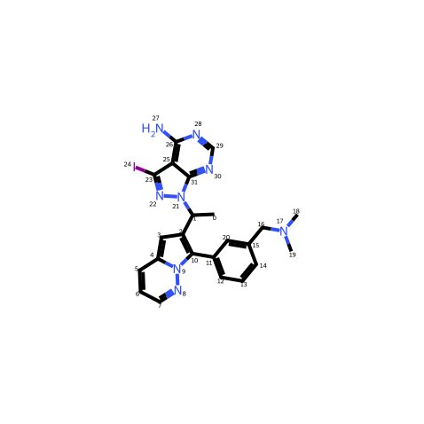 CC(c1cc2cccnn2c1-c1cccc(CN(C)C)c1)n1nc(I)c2c(N)ncnc21